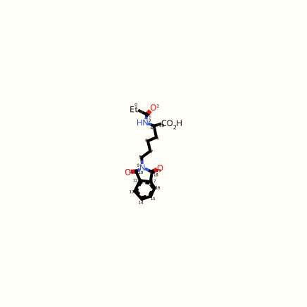 CCC(=O)NC(CCCCN1C(=O)c2ccccc2C1=O)C(=O)O